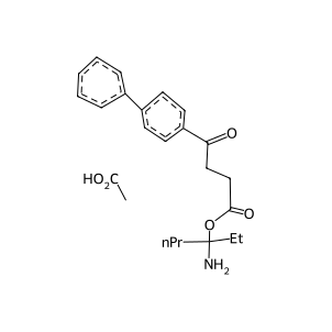 CC(=O)O.CCCC(N)(CC)OC(=O)CCC(=O)c1ccc(-c2ccccc2)cc1